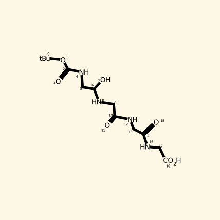 CC(C)(C)OC(=O)NCC(O)NCC(=O)NCC(=O)NCC(=O)O